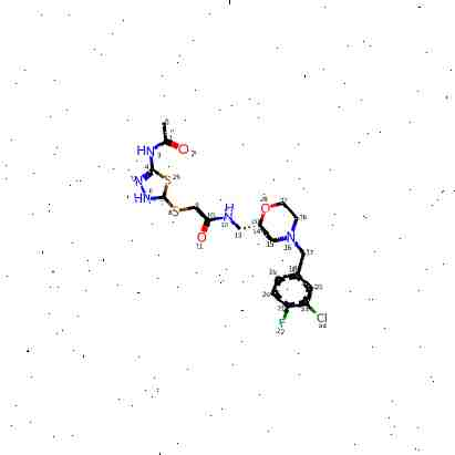 CC(=O)NC1=NNC(SCC(=O)NC[C@H]2CN(Cc3ccc(F)c(Cl)c3)CCO2)S1